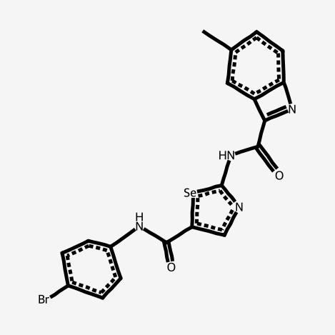 Cc1ccc2c(c1)C(C(=O)Nc1ncc(C(=O)Nc3ccc(Br)cc3)[se]1)=N2